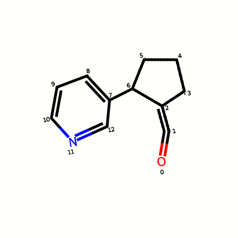 O=C=C1[CH]CCC1c1cccnc1